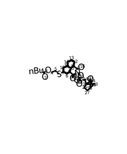 CCCCC(=O)OCCSc1cc2c3c(cccc3c1)C(=O)N(OS(=O)(=O)CC13CCC(CC1=O)C3(C)C)C2=O